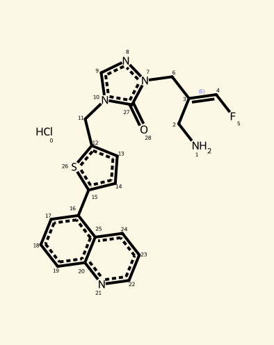 Cl.NC/C(=C\F)Cn1ncn(Cc2ccc(-c3cccc4ncccc34)s2)c1=O